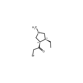 CC[C@@H]1CN(P)C[C@@H]1C(=O)CBr